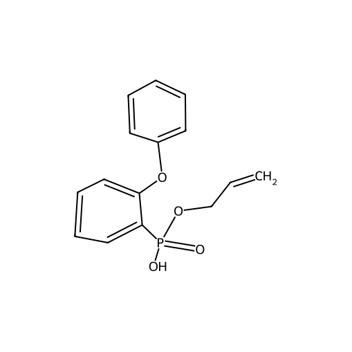 C=CCOP(=O)(O)c1ccccc1Oc1ccccc1